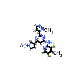 CC(=O)N1CCC(c2cc(Nc3nc(F)c(F)c(C)c3F)nc(-c3ccnn3C)n2)C1